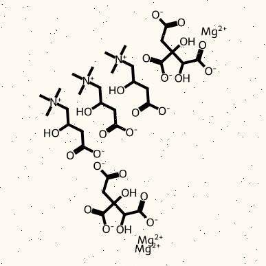 C[N+](C)(C)CC(O)CC(=O)[O-].C[N+](C)(C)CC(O)CC(=O)[O-].C[N+](C)(C)CC(O)CC(=O)[O-].O=C([O-])CC(O)(C(=O)[O-])C(O)C(=O)[O-].O=C([O-])CC(O)(C(=O)[O-])C(O)C(=O)[O-].[Mg+2].[Mg+2].[Mg+2]